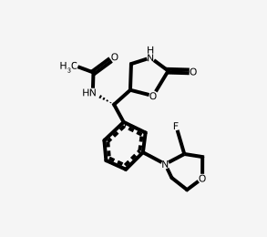 CC(=O)N[C@@H](c1cccc(N2CCOCC2F)c1)C1CNC(=O)O1